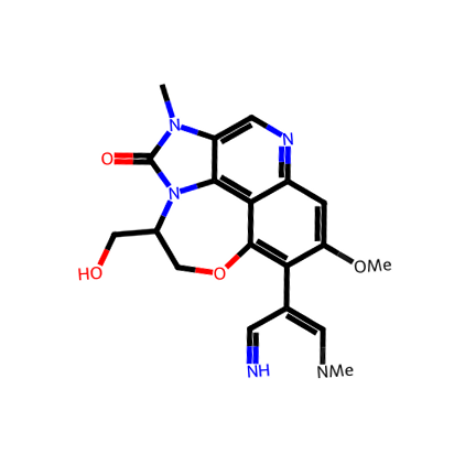 CN/C=C(\C=N)c1c(OC)cc2ncc3c4c2c1OCC(CO)n4c(=O)n3C